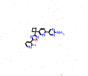 Nc1ncc(-c2ccc(C3(c4noc(-c5cccnc5I)n4)CCC3)cn2)cn1